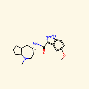 COc1ccc2[nH]nc(C(=O)N[C@@H]3CCN(C)C4CCCC4C3)c2c1